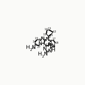 Cc1nc(N)nc(-c2c(N(c3ccccc3)c3cc[nH]n3)nc3ccc(N)cn23)n1